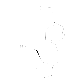 CC[C@@H]1CCCN1Cc1ccc([N+](=O)[O-])cc1